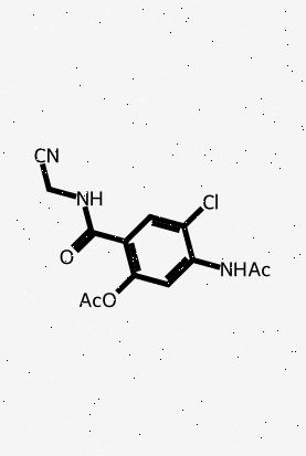 CC(=O)Nc1cc(OC(C)=O)c(C(=O)NCC#N)cc1Cl